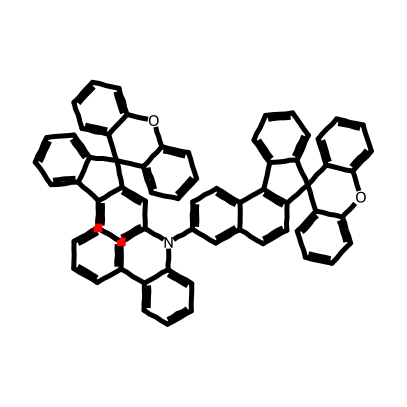 c1ccc(-c2ccccc2N(c2ccc3c(c2)C2(c4ccccc4Oc4ccccc42)c2ccccc2-3)c2ccc3c4c(ccc3c2)C2(c3ccccc3Oc3ccccc32)c2ccccc2-4)cc1